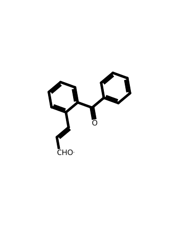 O=[C]C=Cc1ccccc1C(=O)c1ccccc1